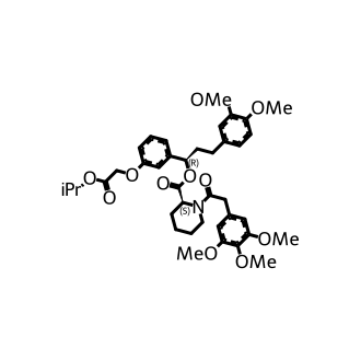 COc1ccc(CC[C@@H](OC(=O)[C@@H]2CCCCN2C(=O)Cc2cc(OC)c(OC)c(OC)c2)c2cccc(OCC(=O)OC(C)C)c2)cc1OC